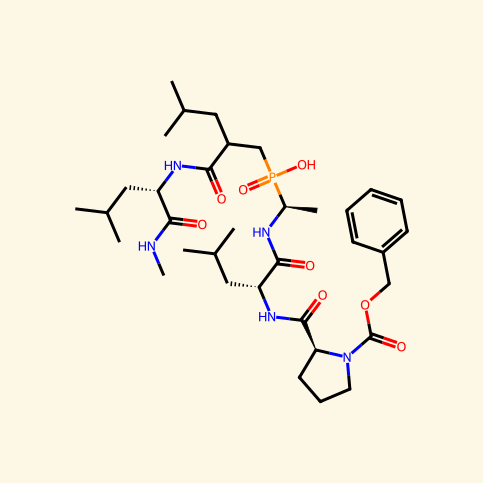 CNC(=O)[C@H](CC(C)C)NC(=O)C(CC(C)C)CP(=O)(O)[C@@H](C)NC(=O)[C@@H](CC(C)C)NC(=O)[C@@H]1CCCN1C(=O)OCc1ccccc1